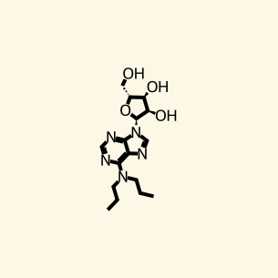 CCCN(CCC)c1ncnc2c1ncn2[C@@H]1O[C@H](CO)[C@@H](O)[C@H]1O